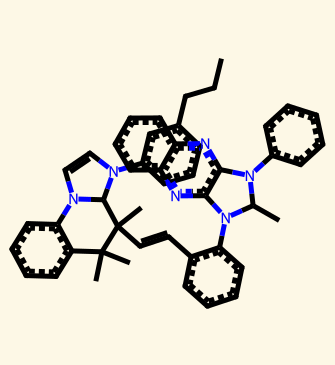 CCCc1cccc(N2C=CN3c4ccccc4C(C)(C)C(C)(/C=C/c4ccccc4N4c5nc6ccccc6nc5N(c5ccccc5)C4C)C23)c1